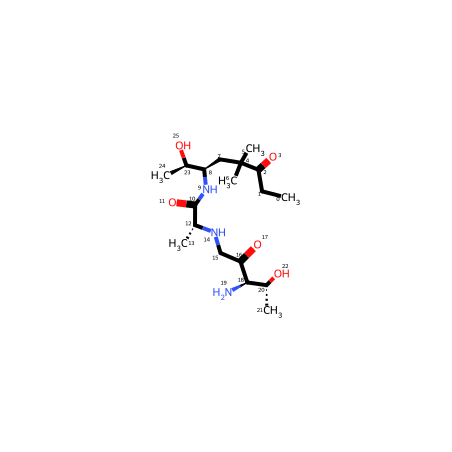 CCC(=O)C(C)(C)C[C@@H](NC(=O)[C@@H](C)NCC(=O)[C@H](N)[C@@H](C)O)[C@@H](C)O